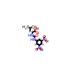 CC(C)C[C@@H](NC(=O)Nc1cc([N+](=O)[O-])cc([N+](=O)[O-])c1)C(=O)O